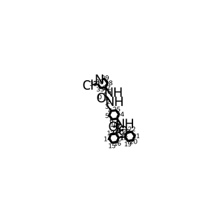 O=C(NCc1ccc(NS(=O)(=O)c2ccccc2-c2ccccc2)cc1)Nc1ccnc(Cl)c1